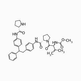 C=C(C)[C@H](NC(=O)OC)C(=O)N1CCC[C@H]1C(=O)Nc1ccc(CC(c2ccccc2)c2ccc(NC(=O)[C@@H]3CCCN3)cc2)cc1